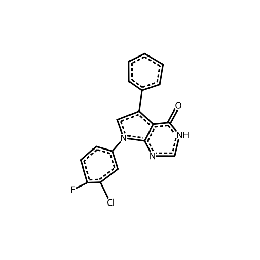 O=c1[nH]cnc2c1c(-c1ccccc1)cn2-c1ccc(F)c(Cl)c1